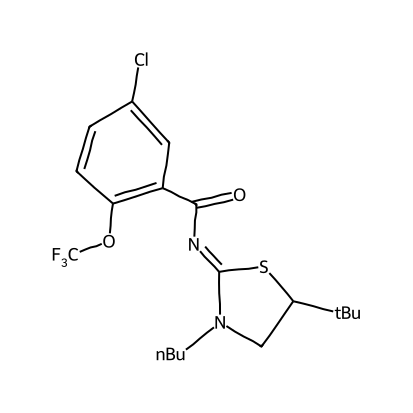 CCCCN1CC(C(C)(C)C)SC1=NC(=O)c1cc(Cl)ccc1OC(F)(F)F